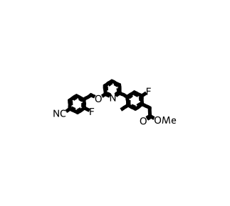 COC(=O)Cc1cc(C)c(-c2cccc(OCc3ccc(C#N)cc3F)n2)cc1F